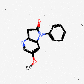 CCOc1cnc2c(c1)N(c1ccccc1)C(=O)C2